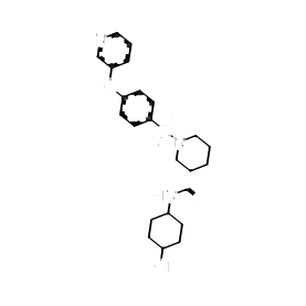 O=C(NC1CCC(O)CC1)[C@H]1CCCN(S(=O)(=O)c2ccc(Oc3cccnc3)cc2)C1